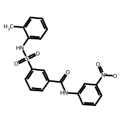 Cc1ccccc1NS(=O)(=O)c1cccc(C(=O)Nc2cccc([N+](=O)[O-])c2)c1